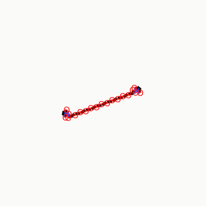 O=C(CCOCCOCCOCCOCCOCCOCCOCCOCCOCCOCCOCCC(=O)ON1C(=O)CCC1=O)ON1C(=O)CCC1=O